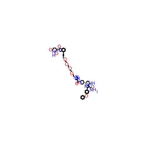 NC(=O)c1c(-c2ccc(Oc3ccccc3)cc2)nn2c1NCC[C@H]2C1CCN(C(=O)c2cn(CCOCCOCCOCCOCC#Cc3cccc4c3CN(C3CCC(=O)NC3=O)C4=O)nn2)CC1